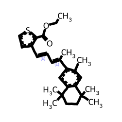 CCOC(=O)c1sccc1/C=C/C=C(\C)c1cc2c(cc1C)C(C)(C)CCC2(C)C